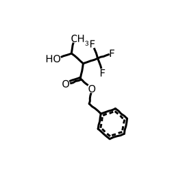 CC(O)C(C(=O)OCc1ccccc1)C(F)(F)F